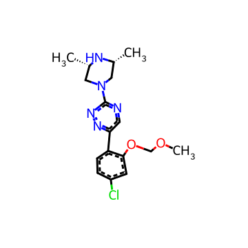 COCOc1cc(Cl)ccc1-c1cnc(N2C[C@@H](C)N[C@@H](C)C2)nn1